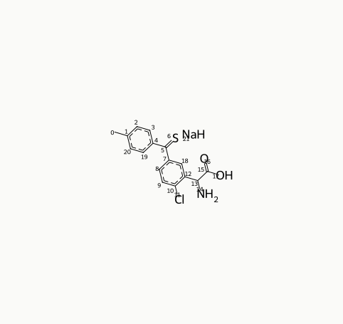 Cc1ccc(C(=S)c2ccc(Cl)c(C(N)C(=O)O)c2)cc1.[NaH]